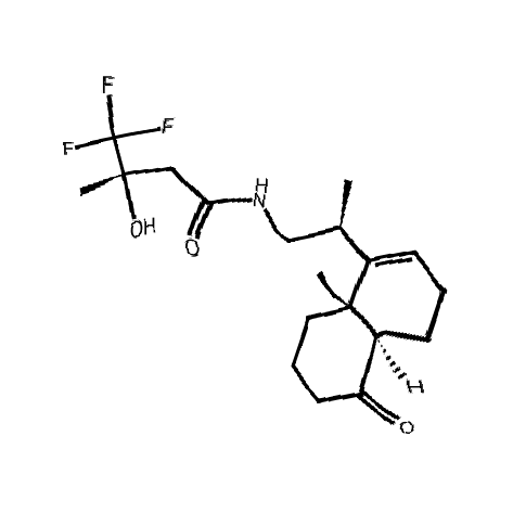 C[C@H](CNC(=O)C[C@](C)(O)C(F)(F)F)C1=CCC[C@H]2C(=O)CCC[C@]12C